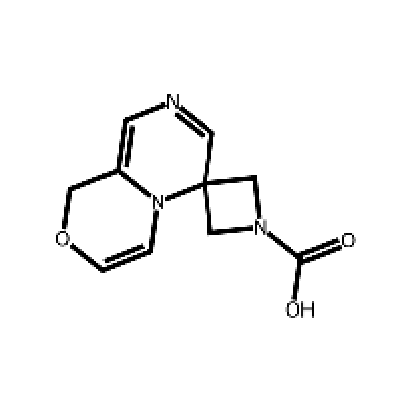 O=C(O)N1CC2(C=NC=C3COC=CN32)C1